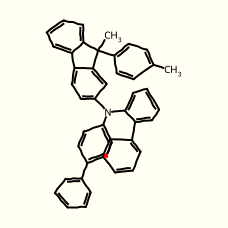 Cc1ccc(C2(C)c3ccccc3-c3ccc(N(c4ccc(-c5ccccc5)cc4)c4ccccc4-c4ccccc4)cc32)cc1